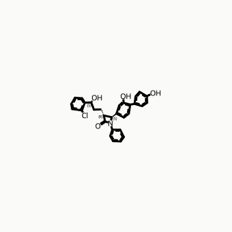 O=C1[C@H](CC[C@H](O)c2ccccc2Cl)[C@@H](c2ccc(-c3ccc(O)cc3)c(O)c2)N1c1ccccc1